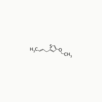 CC=CCc1cc(OCC)cs1